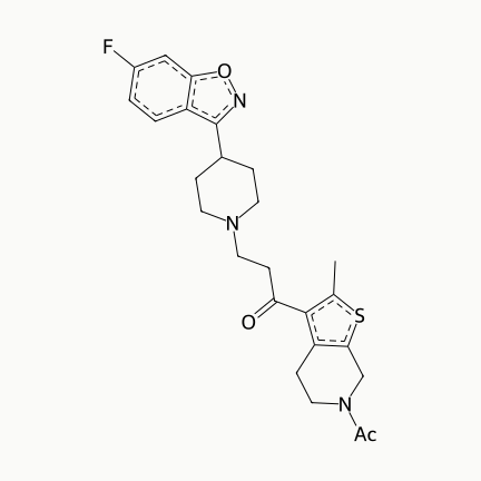 CC(=O)N1CCc2c(sc(C)c2C(=O)CCN2CCC(c3noc4cc(F)ccc34)CC2)C1